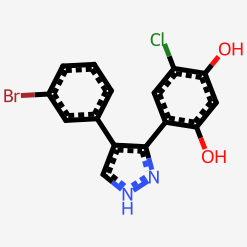 Oc1cc(O)c(-c2n[nH]cc2-c2cccc(Br)c2)cc1Cl